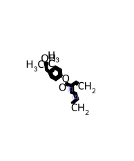 C=C/C=C\C=C(/C=C)C(=O)Oc1ccc(CC(C)(C)O)cc1